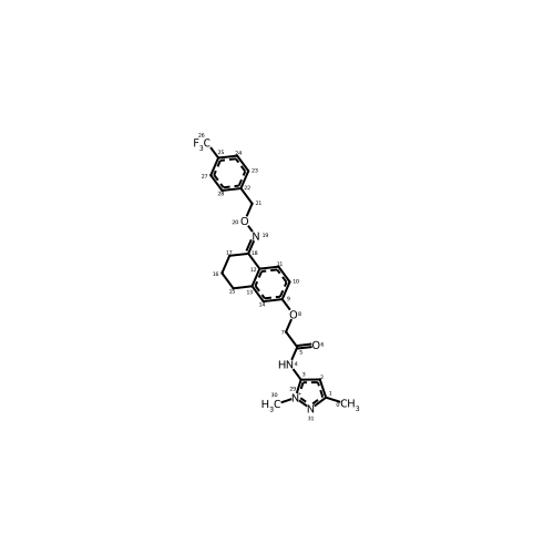 Cc1cc(NC(=O)COc2ccc3c(c2)CCCC3=NOCc2ccc(C(F)(F)F)cc2)n(C)n1